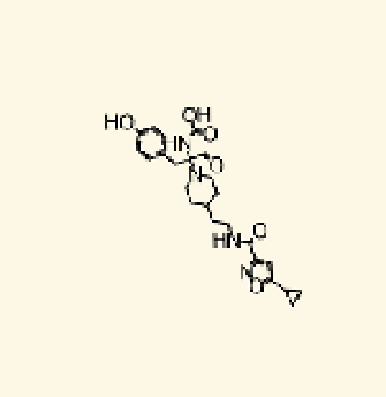 O=C[C@@](Cc1ccc(O)cc1)(NC(=O)O)N1CCC(CCNC(=O)c2cc(C3CC3)on2)CC1